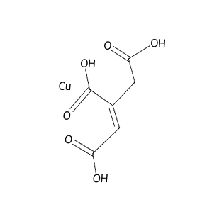 O=C(O)C=C(CC(=O)O)C(=O)O.[Cu]